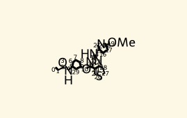 C=CC(=O)Nc1cccc(Oc2nc(Nc3ccc(OC)nc3)nc3c2CSCC3)c1